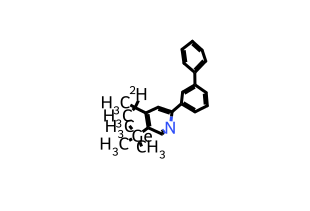 [2H]C(C)(C)c1cc(-c2cccc(-c3ccccc3)c2)nc[c]1[Ge]([CH3])([CH3])[CH3]